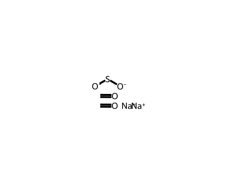 C=O.C=O.[Na+].[Na+].[O-]S[O-]